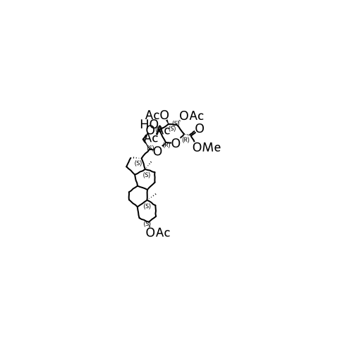 COC(=O)[C@@H]1O[C@@H](O[C@H](COC(C)=O)[C@H]2CCC3C4CCC5C[C@@H](OC(C)=O)CC[C@]5(C)C4CC[C@@]32C)[C@@](O)(C(C)=O)[C@@H](OC(C)=O)[C@@H]1OC(C)=O